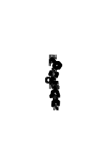 CC1CC(c2nc(C(=O)N3CCN(c4cccc(C(F)(F)F)c4)CC3)cs2)CCN1c1ccncc1